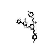 CN1CCN(CCNc2cc(Nc3cc(-c4ccco4)[nH]n3)nc(/C=C/C3(C)C=CC(F)=CC3)n2)CC1